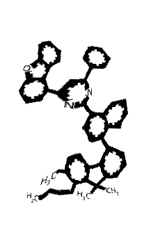 C=C/C=C\c1c(C)ccc2c1C(C)(C)c1cccc(-c3ccc(-c4nc(-c5ccccc5)cc(-c5cccc6oc7ccccc7c56)n4)c4ccccc34)c1-2